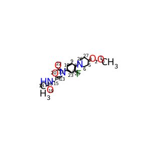 COCOC1CCN(c2ccc(N3C[C@H](CNC(C)=O)OC3=O)cc2F)CC1